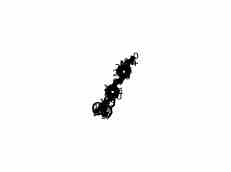 CCC[n+]1ccc(C=Cc2ccc(OCC(OC)OC)cc2)cc1